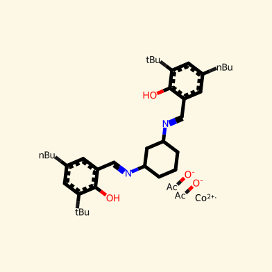 CC(=O)[O-].CC(=O)[O-].CCCCc1cc(C=NC2CCCC(N=Cc3cc(CCCC)cc(C(C)(C)C)c3O)C2)c(O)c(C(C)(C)C)c1.[Co+2]